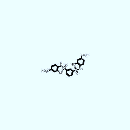 O=C(O)c1ccc(NS(=O)(=O)c2cccc(S(=O)(=O)Nc3ccc(C(=O)O)cc3O)c2)c(O)c1